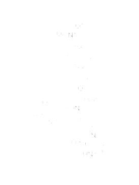 CC(=O)SC1CC(CN2CC(C)NC2=O)N(C(=O)OCc2ccc([N+](=O)[O-])cc2)C1